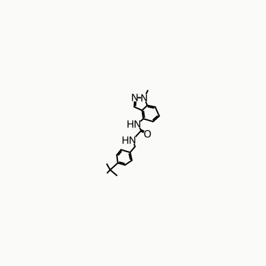 Cn1ncc2c(NC(=O)NCc3ccc(C(C)(C)C)cc3)cccc21